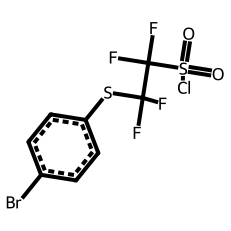 O=S(=O)(Cl)C(F)(F)C(F)(F)Sc1ccc(Br)cc1